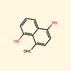 O=Cc1ccc(O)c2cccc(O)c12